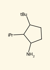 CC(C)C1C(N)CCC1C(C)(C)C